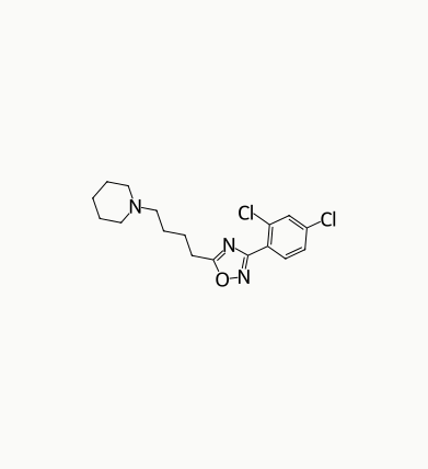 Clc1ccc(-c2noc(CCCCN3CCCCC3)n2)c(Cl)c1